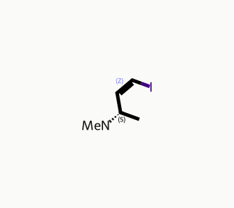 CN[C@@H](C)/C=C\I